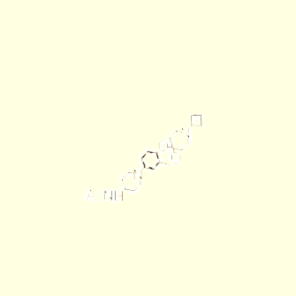 CC(=O)NC1CCN(c2ccc3c(c2)COC2(CCN(C4CCC4)CC2)O3)CC1